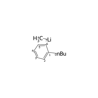 CCCCc1cc[c]cc1.[Li][CH3]